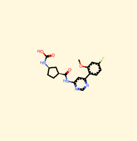 COc1cc(F)ccc1-c1cc(NC(=O)[C@H]2CC[C@@H](NC(=O)O)C2)ncn1